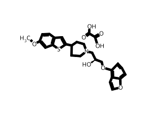 COc1ccc2cc(C3CCN(C[C@H](O)COc4cccc5occc45)CC3)sc2c1.O=C(O)C(=O)O